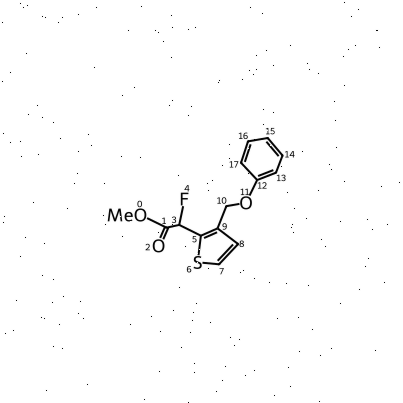 COC(=O)C(F)c1sccc1COc1ccccc1